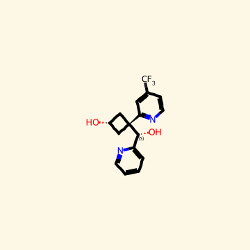 O[C@H](c1ccccn1)[C@]1(c2cc(C(F)(F)F)ccn2)C[C@H](O)C1